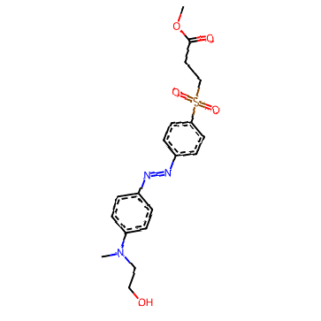 COC(=O)CCS(=O)(=O)c1ccc(N=Nc2ccc(N(C)CCO)cc2)cc1